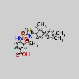 CCc1cc(C2=CCC(C)(C)CC2)ccc1-c1nc(S(=O)(=O)Nc2cc(F)c(C(=O)O)cc2OC)cs1